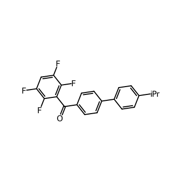 CC(C)c1ccc(-c2ccc(C(=O)c3c(F)c(F)cc(F)c3F)cc2)cc1